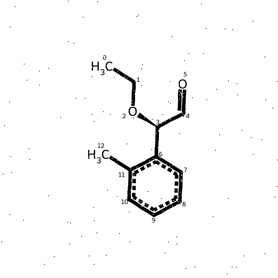 CCO[C@@H]([C]=O)c1ccccc1C